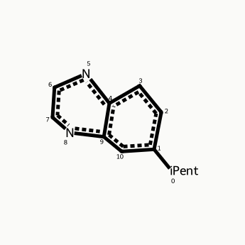 CCCC(C)c1ccc2nccnc2c1